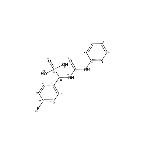 O=C(Nc1ccccc1)NC(c1ccc(F)cc1)P(=O)(O)O